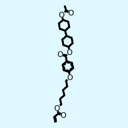 C=CC(=O)OCCCCCCOc1ccc(C(=O)OC2CCC(C3CCC(OC(C)=O)CC3)CC2)cc1